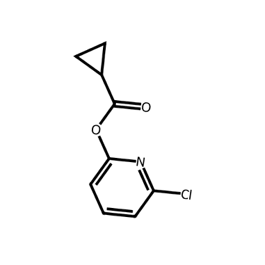 O=C(Oc1cccc(Cl)n1)C1CC1